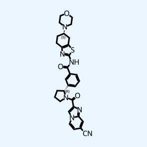 N#Cc1ccn2cc(C(=O)N3CCC[C@@H]3c3cccc(C(=O)Nc4nc5c(s4)C[C@@H](N4CCOCC4)CC5)c3)nc2c1